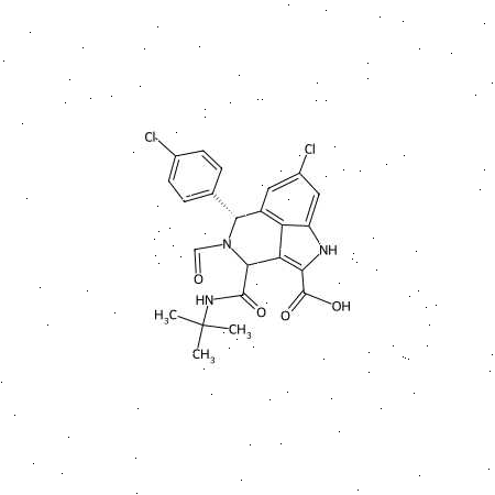 CC(C)(C)NC(=O)C1c2c(C(=O)O)[nH]c3cc(Cl)cc(c23)[C@@H](c2ccc(Cl)cc2)N1C=O